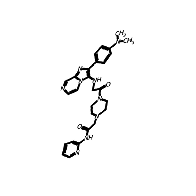 CN(C)c1ccc(-c2nc3cnccn3c2NCC(=O)N2CCN(CC(=O)Nc3ccccn3)CC2)cc1